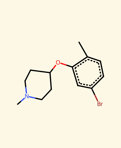 Cc1ccc(Br)cc1OC1CCN(C)CC1